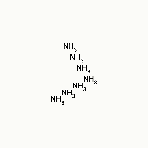 N.N.N.N.N.N.N